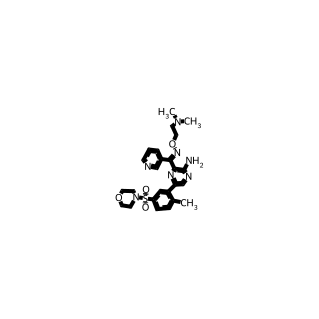 Cc1ccc(S(=O)(=O)N2CCOCC2)cc1-c1cnc(N)c(/C(=N/OCCN(C)C)c2cccnc2)n1